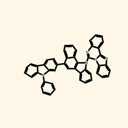 c1ccc(-n2c3ccccc3c3ccc(-c4cc5c6ccccc6n(-c6nc7ccccc7c7nc8ccccc8n67)c5c5ccccc45)cc32)cc1